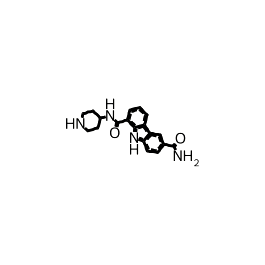 NC(=O)c1ccc2[nH]c3c(C(=O)NC4CCNCC4)cccc3c2c1